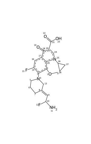 COc1c(N2CCC/C(=C\C(N)F)C2)c(F)cc2c(=O)c(C(=O)O)cn(C3CC3)c12